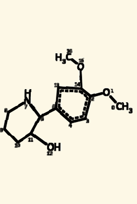 COc1ccc(C2NCCCC2O)cc1OC